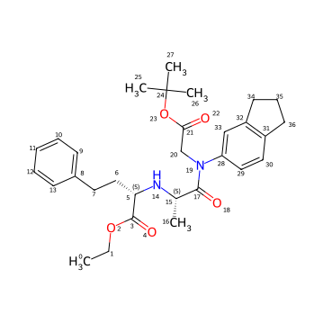 CCOC(=O)[C@H](CCc1ccccc1)N[C@@H](C)C(=O)N(CC(=O)OC(C)(C)C)c1ccc2c(c1)CCC2